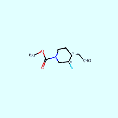 CC(C)(C)OC(=O)N1CC[C@H](CC=O)[C@@H](F)C1